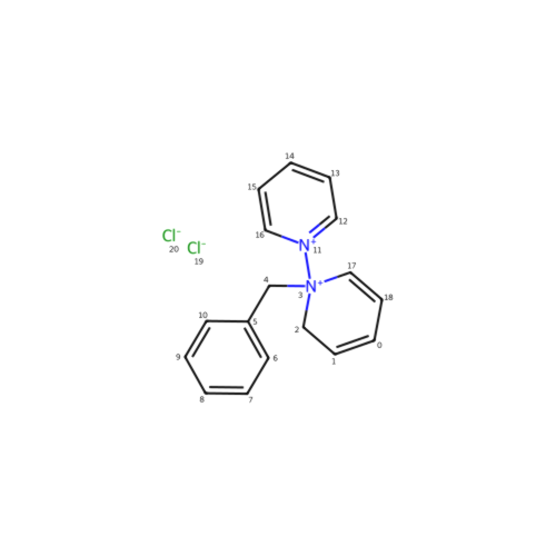 C1=CC[N+](Cc2ccccc2)([n+]2ccccc2)C=C1.[Cl-].[Cl-]